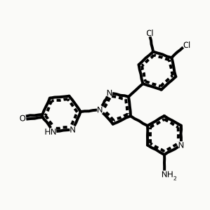 Nc1cc(-c2cn(-c3ccc(=O)[nH]n3)nc2-c2ccc(Cl)c(Cl)c2)ccn1